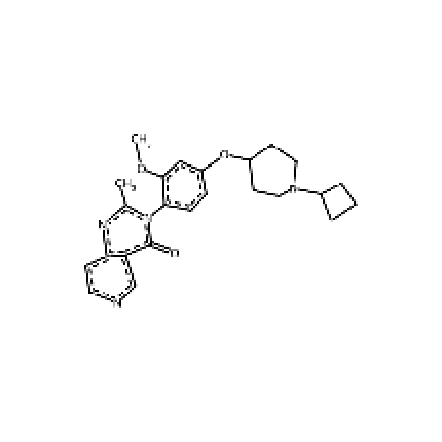 COc1cc(OC2CCN(C3CCC3)CC2)ccc1-n1c(C)nc2ccncc2c1=O